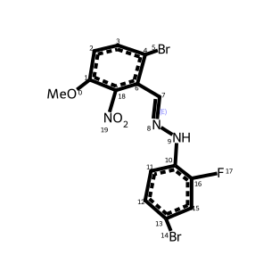 COc1ccc(Br)c(/C=N/Nc2ccc(Br)cc2F)c1[N+](=O)[O-]